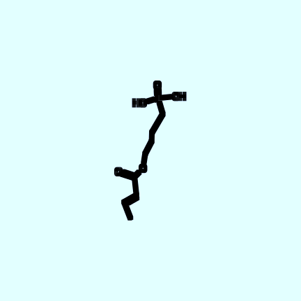 CC=CC(=O)OCCCCP(=O)(O)O